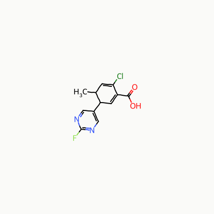 CC1C=C(Cl)C(C(=O)O)=CC1c1cnc(F)nc1